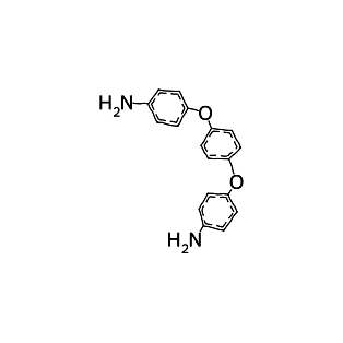 Nc1ccc(Oc2ccc(Oc3ccc(N)cc3)cc2)cc1